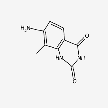 Cc1c(N)ccc2c(=O)[nH]c(=O)[nH]c12